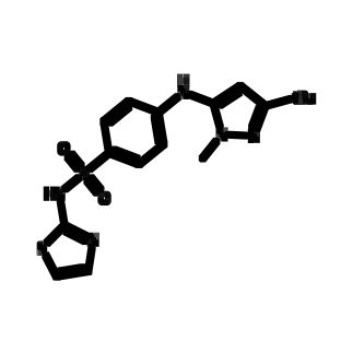 Cn1nc(C(C)(C)C)cc1Nc1ccc(S(=O)(=O)Nc2nccs2)cc1